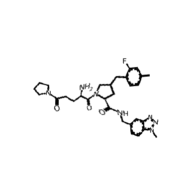 Cc1ccc(CC2C[C@@H](C(=O)NCc3ccc4c(c3)nnn4C)N(C(=O)[C@H](N)CCC(=O)N3CCCC3)C2)c(F)c1